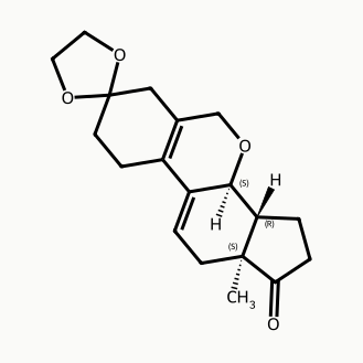 C[C@]12CC=C3C4=C(CO[C@H]3[C@@H]1CCC2=O)CC1(CC4)OCCO1